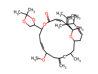 C=C1CC(C)CC2CC=CC(C(C)C)(O2)C(C(C)C)(C(C)C)C=CC(=O)OC(C2COC(C)(C)O2)CC=CC(O[SiH3])C1